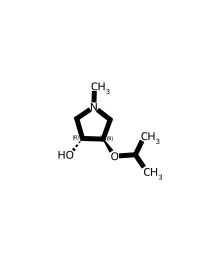 CC(C)O[C@@H]1CN(C)C[C@H]1O